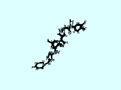 Cc1cn2c(-c3cnn(CC(=O)Nc4ccc(F)c(F)c4)c3)cnc2c(NC2CC(CN3CCCCC3)=NS2)n1